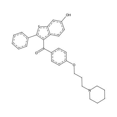 O=C(c1ccc(OCCCN2CCCCC2)cc1)c1c(-c2ccccc2)sc2cc(O)ccc12